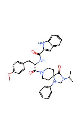 COc1ccc(C[C@@H](NC(=O)c2cc3ccccc3[nH]2)C(=O)N2CCC3(CC2)C(=O)N(C(C)C)CN3c2ccccc2)cc1